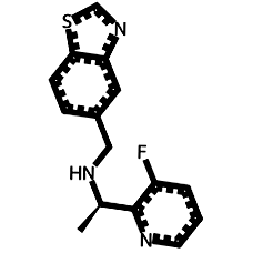 C[C@@H](NCc1ccc2scnc2c1)c1ncccc1F